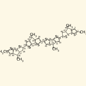 Cc1cc2c(s1)C1SC(c3cc4c(s3)-c3sc(-c5cc6c(s5)-c5sc(C7CC8C(C)c9cc(C)sc9C8S7)cc5C6C)cc3C4C)CC1C2C